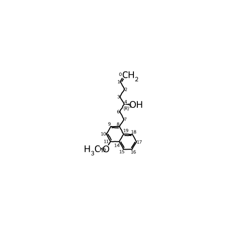 C=CCC[C@@H](O)CCc1ccc(OC)c2ccccc12